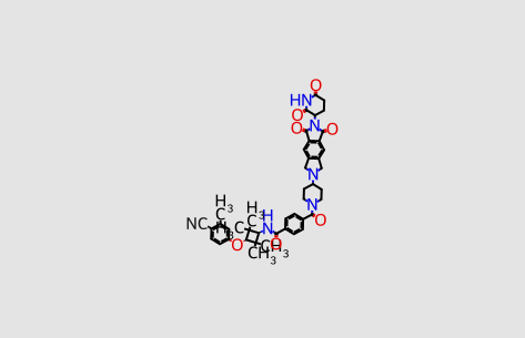 Cc1cc(O[C@H]2C(C)(C)[C@H](NC(=O)c3ccc(C(=O)N4CCC(N5Cc6cc7c(cc6C5)C(=O)N(C5CCC(=O)NC5=O)C7=O)CC4)cc3)C2(C)C)ccc1C#N